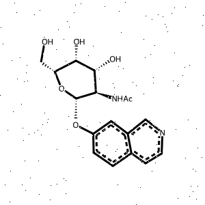 CC(=O)N[C@H]1[C@H](Oc2ccc3ccncc3c2)O[C@H](CO)[C@H](O)[C@@H]1O